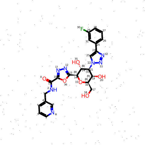 O=C(NCc1cccnc1)c1nnc([C@@H]2O[C@H](CO)[C@H](O)[C@H](n3cc(-c4cccc(F)c4)nn3)[C@H]2O)o1